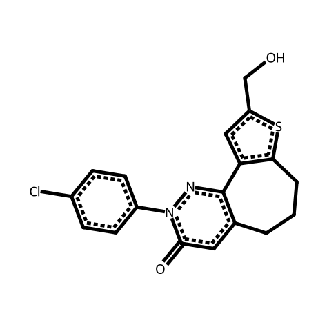 O=c1cc2c(nn1-c1ccc(Cl)cc1)-c1cc(CO)sc1CCC2